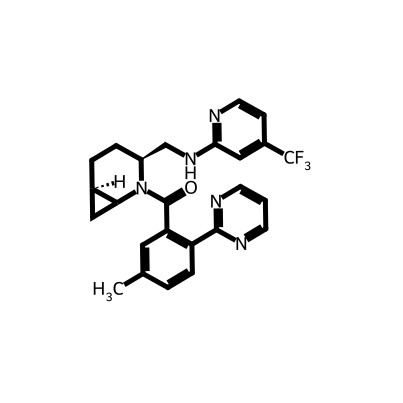 Cc1ccc(-c2ncccn2)c(C(=O)N2C3C[C@H]3CC[C@H]2CNc2cc(C(F)(F)F)ccn2)c1